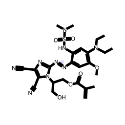 C=C(C)C(=O)OCC(CO)n1c(/N=N/c2cc(OC)c(N(CC)CC)cc2NS(=O)(=O)N(C)C)nc(C#N)c1C#N